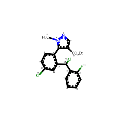 CCOC(=O)c1cnn(C)c1-c1ccc(Cl)cc1C(Cl)c1ccccc1F